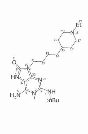 CCCCNc1nc(N)c2[nH]c(=O)n(CCCCC3CCN(CC)CC3)c2n1